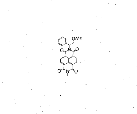 COCC(c1ccccc1)N1C(=O)c2ccc3c4c(ccc(c24)C1=O)C(=O)N(C)C3=O